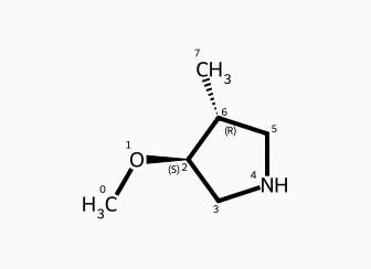 CO[C@@H]1CNC[C@H]1C